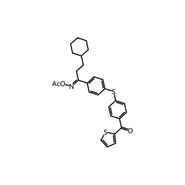 CC(=O)O/N=C(\CCC1CCCCC1)c1ccc(Sc2ccc(C(=O)c3cccs3)cc2)cc1